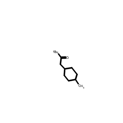 CC1CCC(CC(=O)C(C)(C)C)CC1